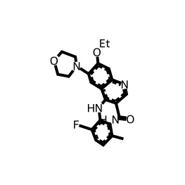 CCOc1cc2ncc(C(N)=O)c(Nc3cc(C)ccc3F)c2cc1N1CCOCC1